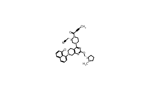 CC#CC(=O)N1CCN(c2nc(OC[C@@H]3CCCN3C)nc3c2CCN(c2cccc4cccc(Cl)c24)C3)C[C@@H]1CC#N